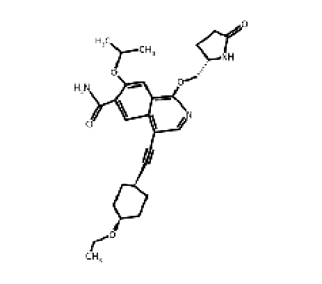 CCO[C@H]1CC[C@@H](C#Cc2cnc(OC[C@@H]3CCC(=O)N3)c3cc(OC(C)C)c(C(N)=O)cc23)CC1